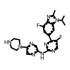 Cc1nc2c(F)cc(-c3nc(Nc4cnc(N5CCNCC5)cn4)ncc3F)cc2n1C(C)C